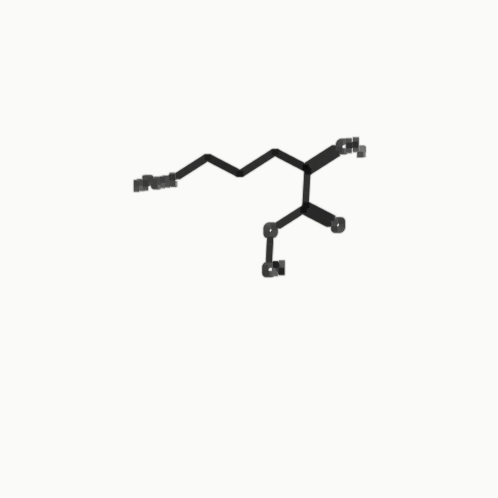 C=C(CCCCCCCC)C(=O)OC#N